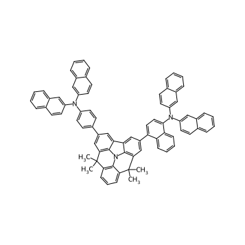 CC1(C)c2cccc3c2-n2c4c1cc(-c1ccc(N(c5ccc6ccccc6c5)c5ccc6ccccc6c5)cc1)cc4c1cc(-c4ccc(N(c5ccc6ccccc6c5)c5ccc6ccccc6c5)c5ccccc45)cc(c12)C3(C)C